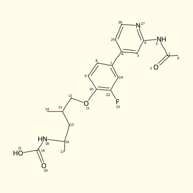 CC(=O)Nc1cc(-c2ccc(OCC(C)CC(C)NC(=O)O)c(F)c2)ccn1